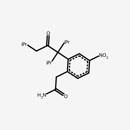 CC(C)CC(=O)C(c1cc([N+](=O)[O-])ccc1CC(N)=O)(C(C)C)C(C)C